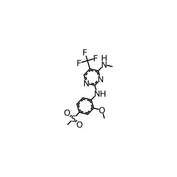 CNc1nc(Nc2ccc(S(C)(=O)=O)cc2OC)ncc1C(F)(F)F